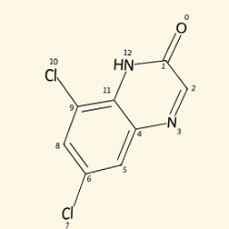 O=c1cnc2cc(Cl)cc(Cl)c2[nH]1